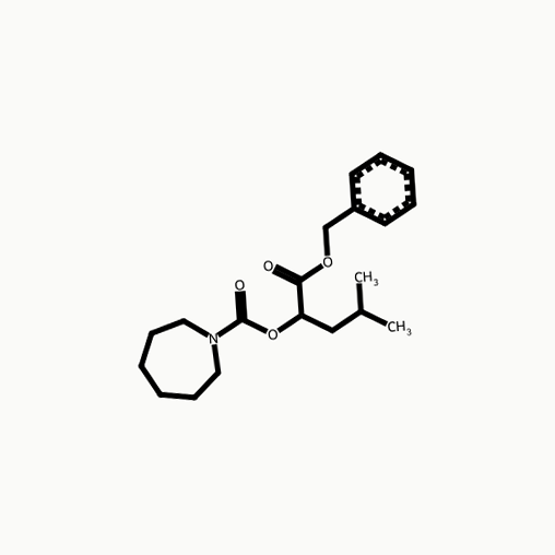 CC(C)CC(OC(=O)N1CCCCCC1)C(=O)OCc1ccccc1